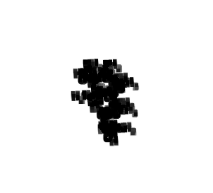 CCC1CN(P(=O)(OCC2CN(P(=O)(OCC3CN(P)CC(n4cnc5c(=O)[nH]c(N)nc54)O3)N(C)C)CC(n3cnc4c(N)ncnc43)O2)N(C)C)CC(n2cnc3c(=O)[nH]c(N)nc32)O1